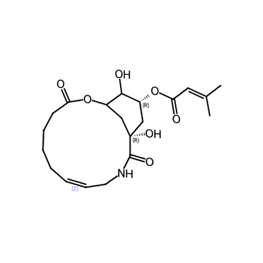 CC(C)=CC(=O)O[C@@H]1C[C@]2(O)CC(OC(=O)CCCC/C=C\CNC2=O)C1O